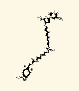 Cc1cn([C@H]2C[C@@H](O/C=C/C=C/C=C/C=C/OP(=O)(O)OCCOCCNC(=O)OCC3[C@H]4CCc5nnn(C)c5CC[C@@H]34)[C@@H](CO)O2)c(=O)[nH]c1=O